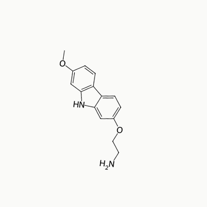 COc1ccc2c(c1)[nH]c1cc(OCCN)ccc12